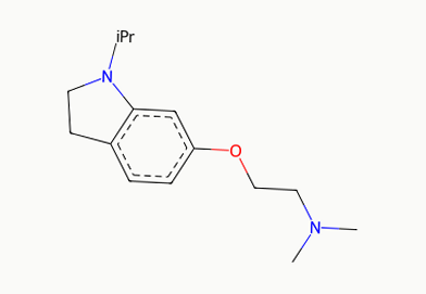 CC(C)N1CCc2ccc(OCCN(C)C)cc21